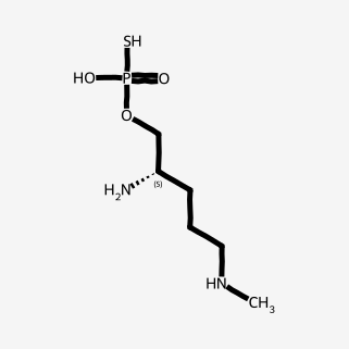 CNCCC[C@H](N)COP(=O)(O)S